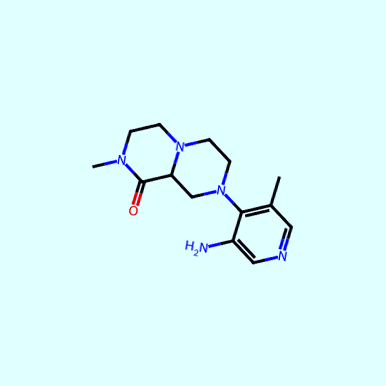 Cc1cncc(N)c1N1CCN2CCN(C)C(=O)C2C1